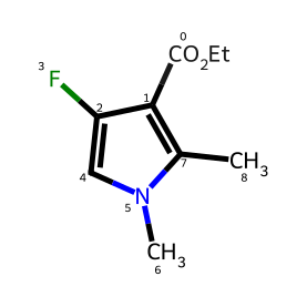 CCOC(=O)c1c(F)cn(C)c1C